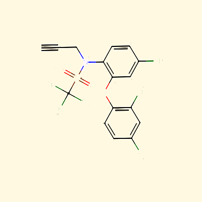 C#CCN(c1ccc(Cl)cc1Oc1ccc(Cl)cc1Cl)S(=O)(=O)C(F)(F)F